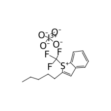 CCCCCc1cc2ccccc2[s+]1C(F)(F)F.[O-][I+3]([O-])([O-])[O-]